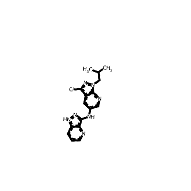 CC(C)Cn1nc(Cl)c2cc(Nc3n[nH]c4cccnc34)cnc21